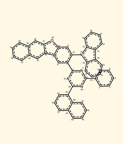 c1ccc(-c2nc(-c3cc4c(cc3-n3c5ccccc5c5ccccc53)oc3cc5ccccc5cc34)nc(-c3cccc4ccccc34)n2)cc1